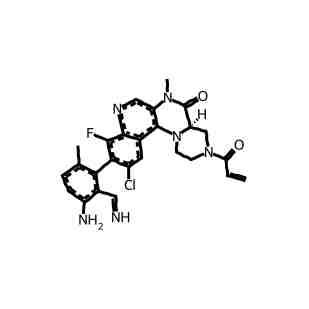 C=CC(=O)N1CCN2c3c(cnc4c(F)c(-c5c(C)ccc(N)c5C=N)c(Cl)cc34)N(C)C(=O)[C@H]2C1